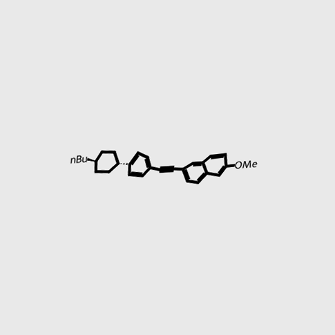 CCCC[C@H]1CC[C@H](c2ccc(C#Cc3ccc4cc(OC)ccc4c3)cc2)CC1